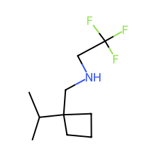 CC(C)C1(CNCC(F)(F)F)CCC1